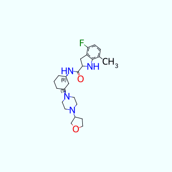 Cc1ccc(F)c2c1NC(C(=O)N[C@@H]1CCC[C@H](N3CCN(C4CCOC4)CC3)C1)C2